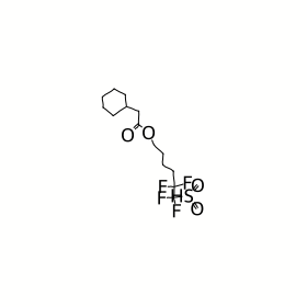 O=C(CC1CCCCC1)OCCCCC(F)(F)C(F)(F)[SH](=O)=O